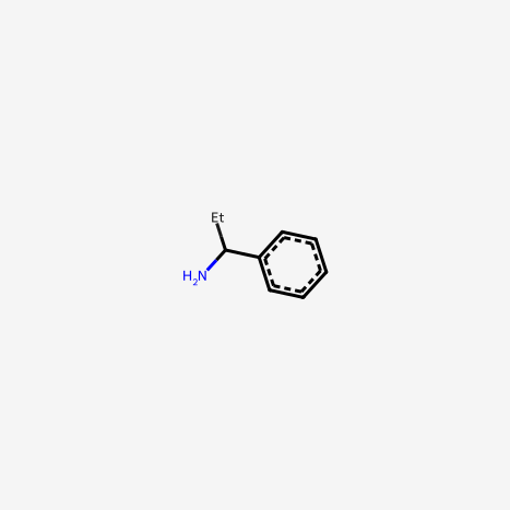 [CH2]CC(N)c1ccccc1